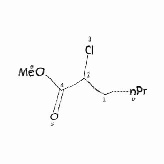 CCCCC(Cl)C(=O)OC